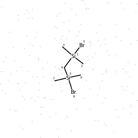 C[Si](C)(Br)C[Si](C)(C)Br